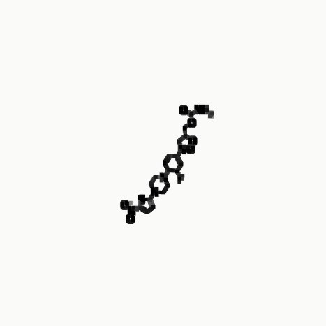 NC(=O)OC[C@@H]1CN(c2ccc(N3CCN(c4ccc([N+](=O)[O-])s4)CC3)c(F)c2)OO1